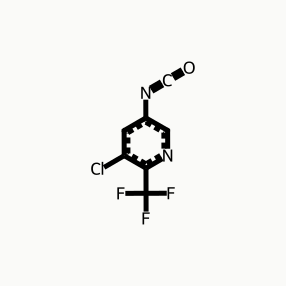 O=C=Nc1cnc(C(F)(F)F)c(Cl)c1